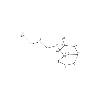 CC(=O)COCCN1CC2CCC1CC(C)C2